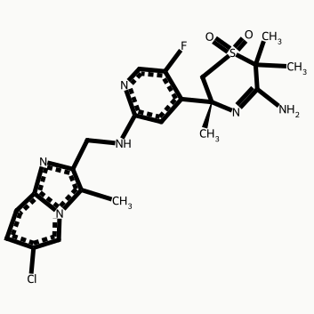 Cc1c(CNc2cc([C@]3(C)CS(=O)(=O)C(C)(C)C(N)=N3)c(F)cn2)nc2ccc(Cl)cn12